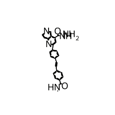 CNC(=O)c1ccc(C#Cc2ccc(-c3cc(C(=O)NN)c4cnccc4n3)cc2)cc1